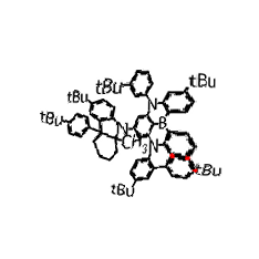 CC(C)(C)c1ccc(C23CCCCC2(C)N(c2cc4c5c(c2)N(c2ccc(C(C)(C)C)cc2-c2ccccc2)c2cc(C(C)(C)C)ccc2B5c2ccc(C(C)(C)C)cc2N4c2cccc(C(C)(C)C)c2)c2ccc(C(C)(C)C)cc23)cc1